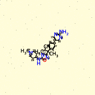 CC(C)C(C)(c1ccc(-c2cnc(N)nc2)cc1)c1noc(NC2CCN(C)CC2)n1